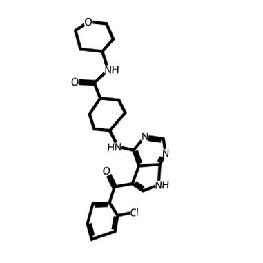 O=C(c1ccccc1Cl)c1c[nH]c2ncnc(NC3CCC(C(=O)NC4CCOCC4)CC3)c12